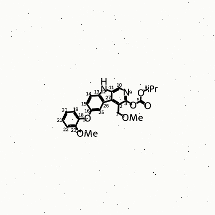 COCc1c(OC(=O)OC(C)C)ncc2[nH]c3ccc(Oc4ccccc4OC)cc3c12